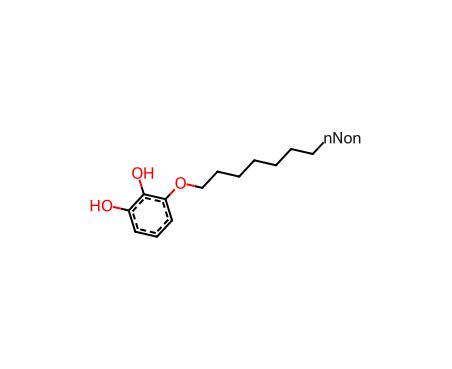 CCCCCCCCCCCCCCCCOc1cccc(O)c1O